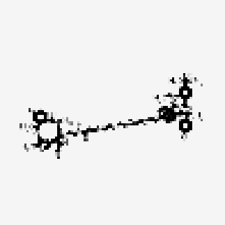 CCOc1cc(C(C)(C)C)ccc1C1=N[C@](C)(c2ccc(Cl)cc2)[C@](C)(c2ccc(Cl)cc2)N1C(=O)N1CCN(CCOCCOCCOCCOCCC(=O)NCCn2nc(C#N)c3c2CN(C)C(=O)c2ccc(F)cc2[C@@H](C)Oc2cc-3cnc2N)CC1